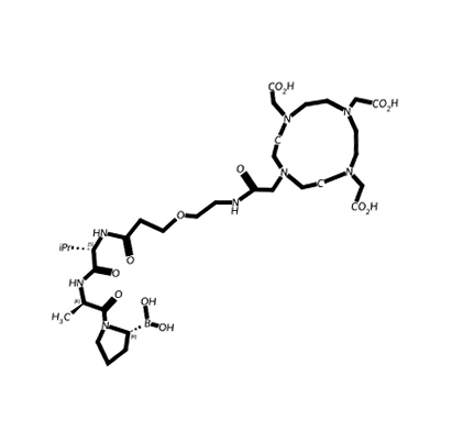 CC(C)[C@H](NC(=O)CCOCCNC(=O)CN1CCN(CC(=O)O)CCN(CC(=O)O)CCN(CC(=O)O)CC1)C(=O)N[C@H](C)C(=O)N1CCC[C@H]1B(O)O